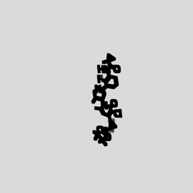 Cc1cnc(-c2cccc(NC(=O)C3(C)CC3)c2F)cc1-n1c(C)cc([C@H]2C[C@@H]2B2OC(C)(C)C(C)(C)O2)c(Cl)c1=O